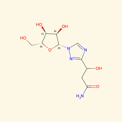 NC(=O)CC(O)c1ncn([C@@H]2O[C@H](CO)[C@@H](O)[C@H]2O)n1